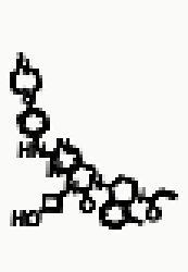 C=CC(=O)N1CC[C@H](N2Cc3cnc(Nc4ccc(N5CCN(C)CC5)cc4)nc3N(C3CC(O)C3)C2=O)c2cccc(C)c21